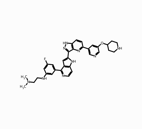 CN(C)CCNc1cc(F)cc(-c2nccc3[nH]c(-c4n[nH]c5ccc(-c6cncc(OC7CCNCC7)c6)nc45)cc23)c1